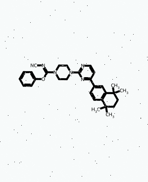 CC1(C)CCC(C)(C)c2cc(-c3ccnc(N4CCN(/C(=N/C#N)Oc5ccccc5)CC4)n3)ccc21